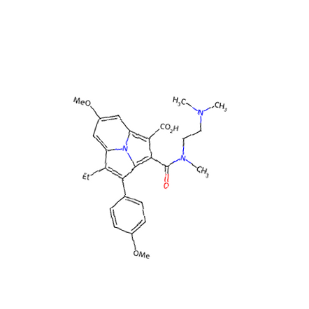 CCc1c(-c2ccc(OC)cc2)c2c(C(=O)N(C)CCN(C)C)c(C(=O)O)c3cc(OC)cc1n32